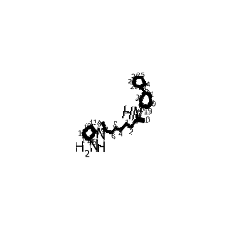 C=C(CCCCCC(=C)Nc1ccccc1N)Nc1cccc(-c2ccccc2)c1